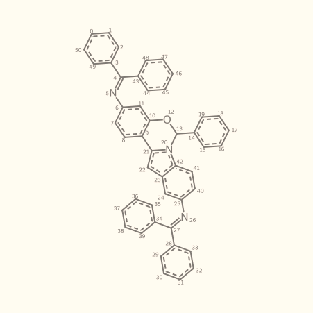 c1ccc(C(=Nc2ccc3c(c2)OC(c2ccccc2)n2c-3cc3cc(N=C(c4ccccc4)c4ccccc4)ccc32)c2ccccc2)cc1